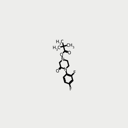 CC(C)(C)C(=O)ON1CCN(c2ccc(F)cc2F)C(=O)C1